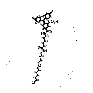 C=c1ccc2c(c1)Oc1cc(C)ccc1C=2c1ccc(C(=O)NCCCCCC(=O)NCCOCCOCCCCCCCl)cc1C(=O)O